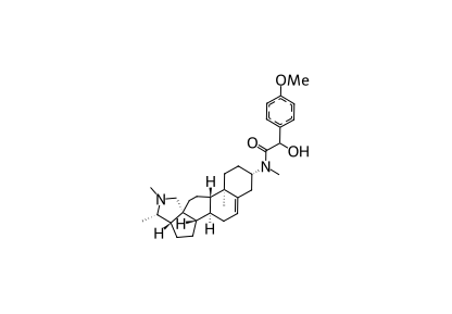 COc1ccc(C(O)C(=O)N(C)[C@H]2CC[C@@]3(C)C(=CC[C@H]4[C@@H]5CC[C@@H]6[C@H](C)N(C)C[C@@]65CC[C@@H]43)C2)cc1